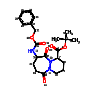 CC(C)(C)OC(=O)C1CCCN2C(=O)CCC(NC(=O)OCc3ccccc3)C(=O)N12